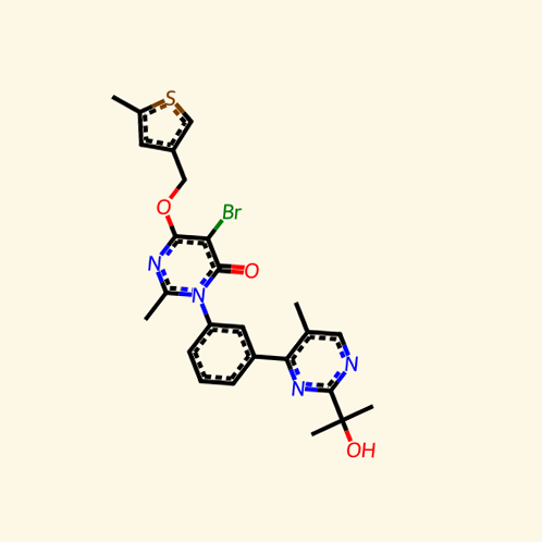 Cc1cc(COc2nc(C)n(-c3cccc(-c4nc(C(C)(C)O)ncc4C)c3)c(=O)c2Br)cs1